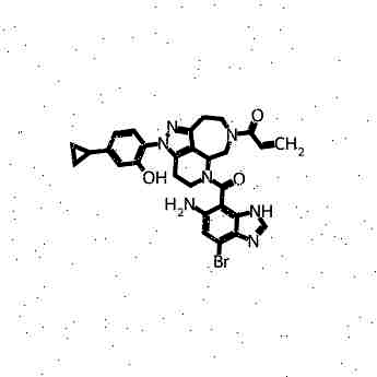 C=CC(=O)N1CCc2nn(-c3ccc(C4CC4)cc3O)c3c2C(C1)N(C(=O)c1c(N)cc(Br)c2nc[nH]c12)CC3